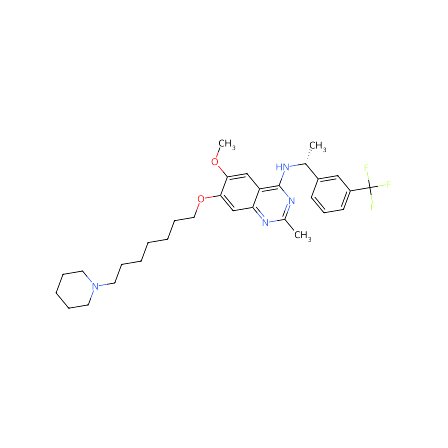 COc1cc2c(N[C@H](C)c3cccc(C(F)(F)F)c3)nc(C)nc2cc1OCCCCCCCN1CCCCC1